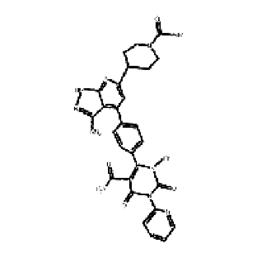 CC(C)C(=O)N1CCC(c2cc(-c3ccc(-c4c(C(N)=O)c(=O)n(-c5ccccn5)c(=O)n4C(C)C)cc3)c3c(N)n[nH]c3n2)CC1